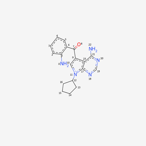 Nc1ccccc1C(=O)c1cn(C2CCCC2)c2ncnc(N)c12